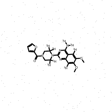 [2H]c1c(OC)c(OC)c([2H])c2c(N([2H])[2H])nc(N3C([2H])([2H])CN(C(=O)c4ccco4)CC3([2H])[2H])nc12